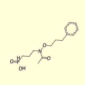 CC(=O)N(CCC[PH](=O)O)OCCCc1ccccc1